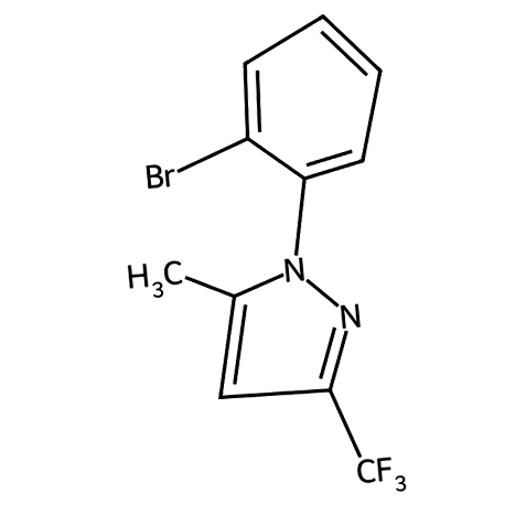 Cc1cc(C(F)(F)F)nn1-c1ccccc1Br